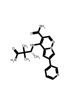 C[C@@H](Nc1c(C(N)=O)cnn2cc(-c3cccnc3)cc12)C(C)(C)C(N)=O